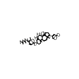 CC1O[C@@H](O[C@H]2CCC3(C)C4CCC5(C)[C@@H](C6=CC(=O)OC6)CC[C@]5(O)C4CC[C@@H]3C2)C=C[C@H]1N=[N+]=[N-]